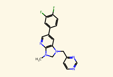 CN1CN(Cc2ccncn2)c2cc(-c3ccc(F)c(F)c3)cnc21